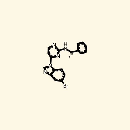 C[C@H](Nc1nccc(-n2cnc3cc(Br)ccc32)n1)c1ccccc1